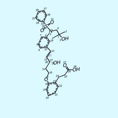 CC(C)(O)CN(c1cccc(/C=C/[C@H](O)CCOc2ccccc2CCC(=O)O)c1)S(=O)(=O)c1ccccc1